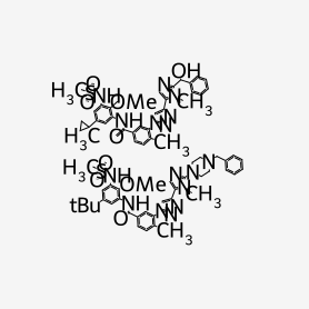 COc1c(NC(=O)c2ccc(C)c(-n3cc(-c4cnc(C(O)c5ccccc5)n4C)nn3)c2)cc(C2(C)CC2)cc1NS(C)(=O)=O.COc1c(NC(=O)c2ccc(C)c(-n3cc(-c4cnc(N5CCN(Cc6ccccc6)CC5)n4C)nn3)c2)cc(C(C)(C)C)cc1NS(C)(=O)=O